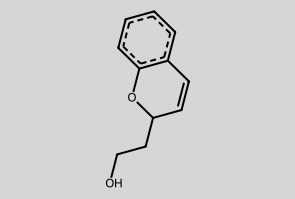 OCCC1C=Cc2ccccc2O1